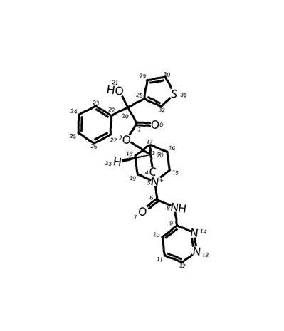 O=C(O[C@H]1C[N+]2(C(=O)Nc3cccnn3)CCC1CC2)C(O)(c1ccccc1)c1ccsc1